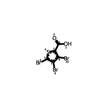 O=C(O)c1sc(Br)c(Br)c1Br